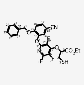 CCOC(=O)C(CS)Oc1c(F)c(F)nc(Oc2cc(C#N)ccc2OCc2ccccc2)c1F